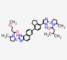 COCCC(=O)N1[C@@H](C)CC[C@H]1c1nc2ccc3cc(-c4ccc(-c5cnc([C@@H]6CC[C@H](C)N6C(=O)CC(C)C)[nH]5)c5c4CCC5)ccc3c2[nH]1